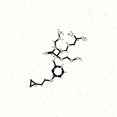 COCO[C@@]1(Cc2cc(OCCC3CC3)ccn2)C(=O)N(COC)[C@H]1COCC(C)C